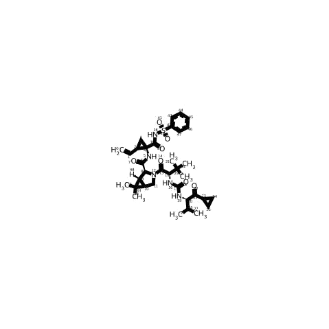 C=CC1C[C@]1(NC(=O)[C@@H]1[C@@H]2C(CN1C(=O)[C@@H](NC(=O)N[C@H](C(=O)C1CC1)C(C)C)C(C)(C)C)C2(C)C)C(=O)NS(=O)(=O)c1ccccc1